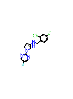 Fc1cnc(N2CC[C@H](NCc3ccc(Cl)cc3Cl)C2)nc1